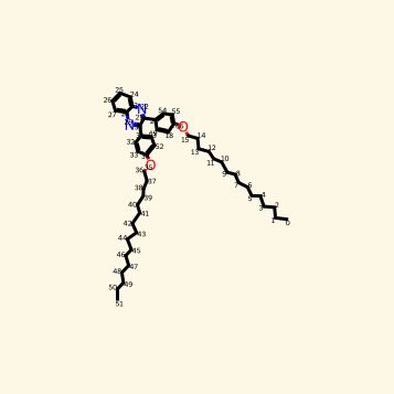 CCCCCCCCCCCCCCCCOc1ccc(-c2nc3ccccc3nc2-c2ccc(OCCCCCCCCCCCCCCCC)cc2)cc1